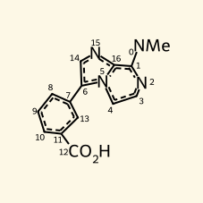 CNc1nccn2c(-c3cccc(C(=O)O)c3)cnc12